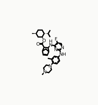 Cc1cc(Nc2ncc(F)c(NC3C4C=CC(C4)C3C(=O)O[C@H]3C[C@@H](C)CC[C@@H]3C(C)C)n2)ccc1N1CCN(C)CC1